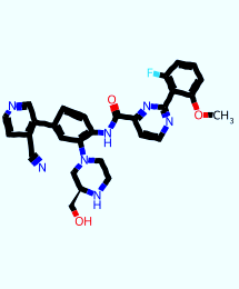 COc1cccc(F)c1-c1nccc(C(=O)Nc2ccc(-c3cnccc3C#N)cc2N2CCN[C@@H](CO)C2)n1